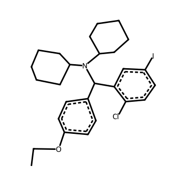 CCOc1ccc(C(c2cc(I)ccc2Cl)N(C2CCCCC2)C2CCCCC2)cc1